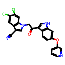 N#Cc1cn(CC(=O)c2c[nH]c3cc(Oc4cccnc4)ccc23)c2cc(Cl)c(Cl)cc12